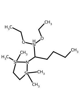 CCCCC(N1[Si](C)(C)CC[Si]1(C)C)[SiH](OCC)OCC